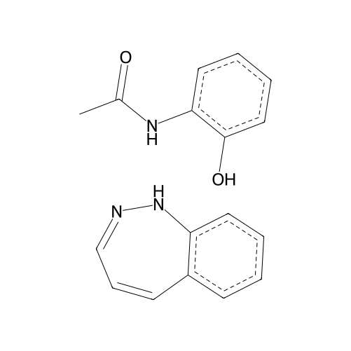 C1=Cc2ccccc2NN=C1.CC(=O)Nc1ccccc1O